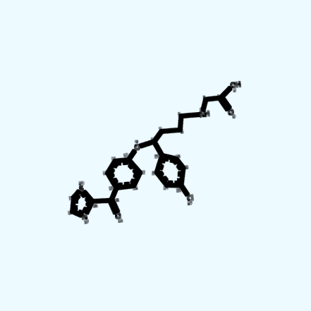 O=C(O)CNCCCC(Oc1ccc(C(=O)c2nccs2)cc1)c1ccc(Cl)cc1